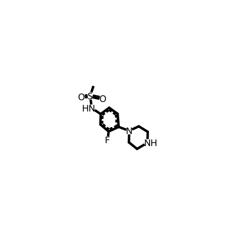 CS(=O)(=O)Nc1ccc(N2CCNCC2)c(F)c1